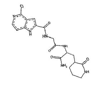 NC(=O)C(CC1CCCNC1=O)NC(=O)CNC(=O)c1cc2c(Cl)nccc2[nH]1